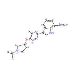 Cc1nc(-c2c[nH]c3c(C#N)cccc23)cnc1OC1CCN(C(C)C)C1